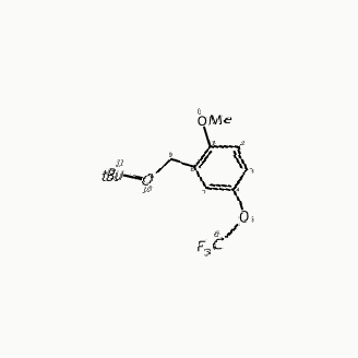 COc1ccc(OC(F)(F)F)cc1COC(C)(C)C